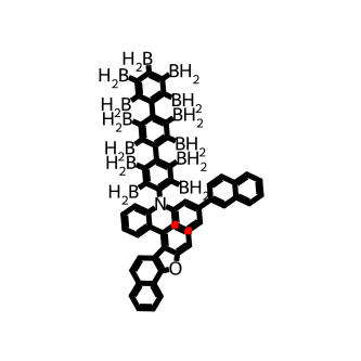 Bc1c(B)c(B)c(-c2c(B)c(B)c(-c3c(B)c(B)c(N(c4cccc(-c5ccc6ccccc6c5)c4)c4ccccc4-c4cccc5oc6c7ccccc7ccc6c45)c(B)c3B)c(B)c2B)c(B)c1B